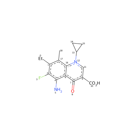 CCc1c(F)c(N)c2c(=O)c(C(=O)O)cn(C3CC3)c2c1C